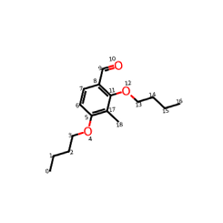 CCCCOc1ccc(C=O)c(OCCCC)c1C